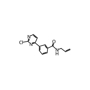 C=CCNC(=O)c1cccc(-c2ccnc(Cl)n2)c1